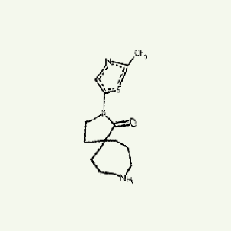 O=C1N(c2cnc(C(F)(F)F)s2)CCC12CCNCC2